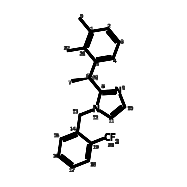 Cc1cccc([C@H](C)c2nccn2Cc2ccccc2C(F)(F)F)c1C